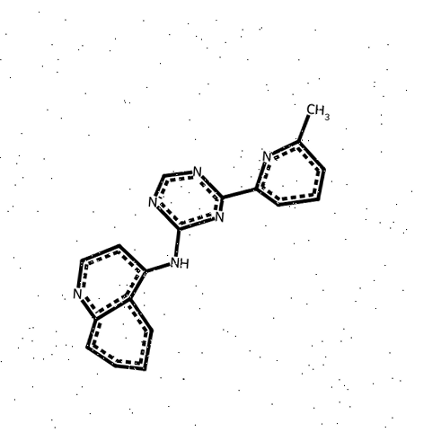 Cc1cccc(-c2ncnc(Nc3ccnc4ccccc34)n2)n1